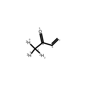 [2H]C([2H])([2H])C(=O)C=C